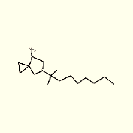 CCCCCCCC(C)(C)N1CC(N)C2(CC2)C1